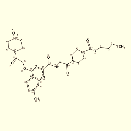 CCCCOC(=O)N1CCN(C(=O)CNC(=O)c2cc(OCC(=O)N3CCN(C)CC3)c3ccc(C)cc3n2)CC1